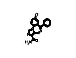 NC(=O)c1ncn2c1CN=C(c1ccccc1)c1cc(Cl)ccc1-2